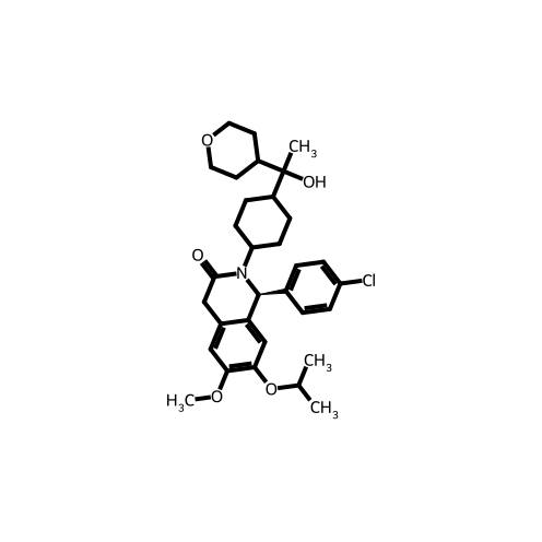 COc1cc2c(cc1OC(C)C)[C@H](c1ccc(Cl)cc1)N(C1CCC(C(C)(O)C3CCOCC3)CC1)C(=O)C2